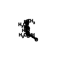 CCc1cc(NC2=NC=CN3C2=NCC3c2ccc(OC)c(F)c2C)ccc1C(=O)NCCCCCC=O